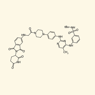 Cc1cnc(Nc2ccc(N3CCN(C(=O)CNc4ccc5c(c4)C(=O)N(C4CCC(=O)NC4=O)C5=O)CC3)cc2)nc1Nc1cccc(S(=O)(=O)NC(C)(C)C)c1